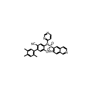 COc1cc(-c2cc(C)c(C)cc2C)c(C#N)cc1N(c1ccncn1)S(=O)(=O)c1ccc2cnccc2c1